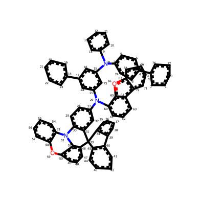 c1ccc(-c2ccc(N(c3ccccc3)c3cc(-c4ccccc4)cc(N(c4ccc5c(c4)C4(c6ccccc6-c6ccccc64)c4cccc6c4N5c4ccccc4O6)c4cccc5c4oc4ccccc45)c3)cc2)cc1